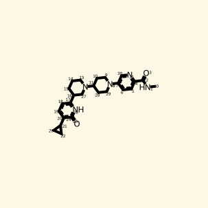 CNC(=O)c1ccc(N2CCC(N3CCCC(c4ccc(C5CC5)c(=O)[nH]4)C3)CC2)cn1